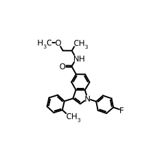 COCC(C)NC(=O)c1ccc2c(c1)c(-c1ccccc1C)cn2-c1ccc(F)cc1